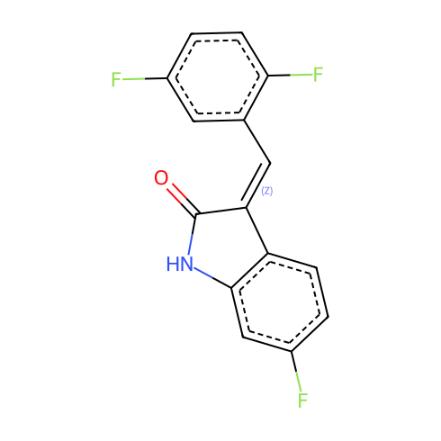 O=C1Nc2cc(F)ccc2/C1=C/c1cc(F)ccc1F